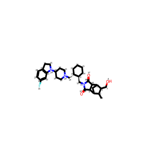 CC1C(CO)C2CC1C1C(=O)N(C[C@@H]3CCCC[C@H]3CN3CCC(N4CCc5ccc(F)cc54)CC3)C(=O)C21